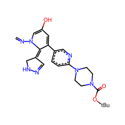 C=NN1C=C(O)C=C(c2ccc(N3CCN(C(=O)OC(C)(C)C)CC3)nc2)/C1=C1\C=NNC1